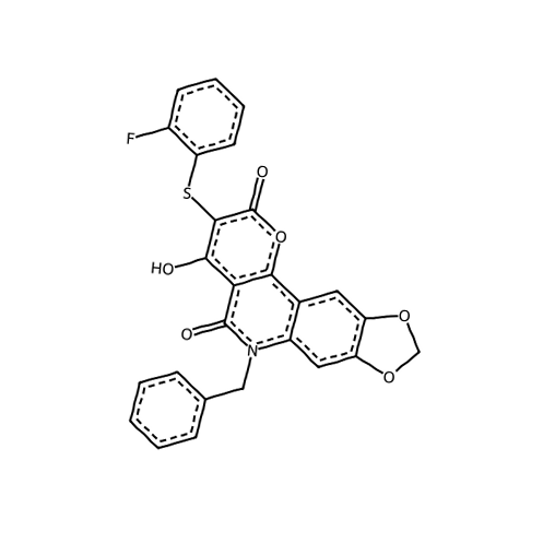 O=c1oc2c(c(O)c1Sc1ccccc1F)c(=O)n(Cc1ccccc1)c1cc3c(cc21)OCO3